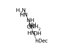 CCCCCCCCCCCCCCCC(O)NCCCC[C@@H](N)C(=O)NCCCNCCCCNCCCN